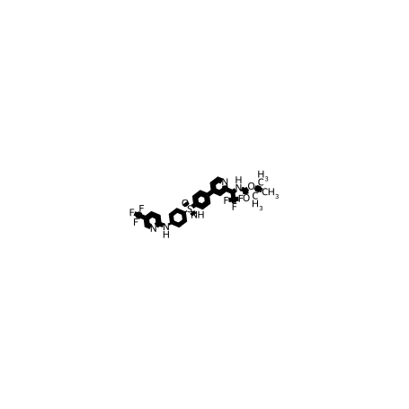 CC(C)(C)OC(=O)NC(c1cc(-c2ccc(S(=N)(=O)[C@H]3CC[C@H](Nc4ccc(C(F)(F)F)cn4)CC3)cc2)ccn1)C(F)(F)F